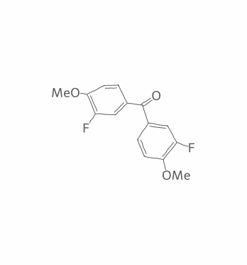 COc1ccc(C(=O)c2ccc(OC)c(F)c2)cc1F